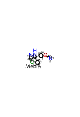 CNc1cc(-c2c(-c3ccc(OCCN(C)C)cc3)[nH]c3nccc(Cl)c23)ccc1C